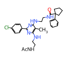 CC(=O)NCCNc1nc(-c2ccc(Cl)cc2)nc(NCCNC(=O)C2(c3ccccc3)CCCC2)c1C